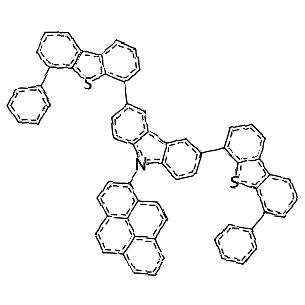 c1ccc(-c2cccc3c2sc2c(-c4ccc5c(c4)c4cc(-c6cccc7c6sc6c(-c8ccccc8)cccc67)ccc4n5-c4ccc5ccc6cccc7ccc4c5c67)cccc23)cc1